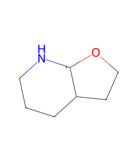 C1CN[C]2OCCC2C1